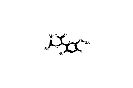 CCCCC(=O)OC(C(=O)OC)c1nc(OC(C)(C)C)c(F)cc1C#N